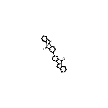 O=C1c2cc(-c3ccc4c(c3)C(=O)n3c-4nc4ccccc43)ccc2-c2nc3ccccc3n21